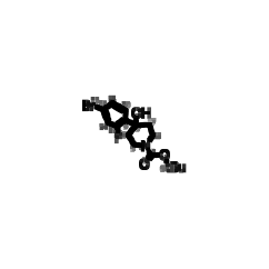 CC(C)(C)OC(=O)N1CCC(O)(c2ccc(Br)cc2F)CC1